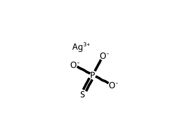 [Ag+3].[O-]P([O-])([O-])=S